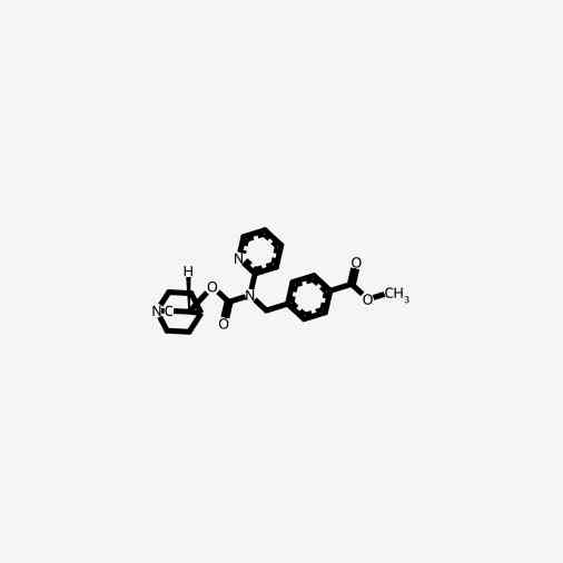 COC(=O)c1ccc(CN(C(=O)O[C@H]2CN3CCC2CC3)c2ccccn2)cc1